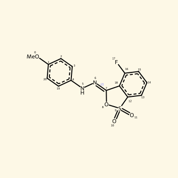 COc1ccc(N/N=C2\OS(=O)(=O)c3cccc(F)c32)cc1